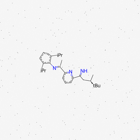 CC(=Nc1c(C(C)C)cccc1C(C)C)c1cccc(C(=N)C[C@@H](C)C(C)(C)C)n1